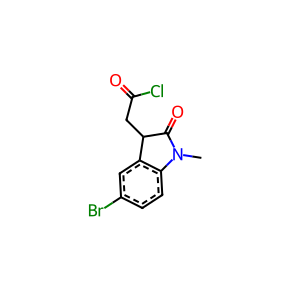 CN1C(=O)C(CC(=O)Cl)c2cc(Br)ccc21